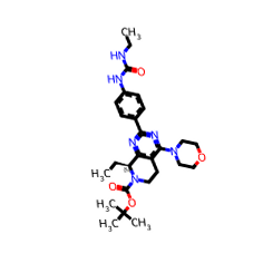 CCNC(=O)Nc1ccc(-c2nc3c(c(N4CCOCC4)n2)CCN(C(=O)OC(C)(C)C)[C@H]3CC)cc1